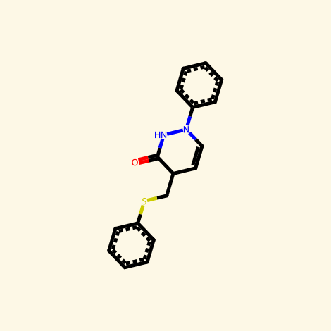 O=C1NN(c2ccccc2)C=CC1CSc1ccccc1